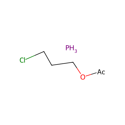 CC(=O)OCCCCl.P